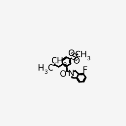 CC(C)Cc1ccc(S(C)(=O)=O)cc1C(=O)N1Cc2cccc(F)c2C1